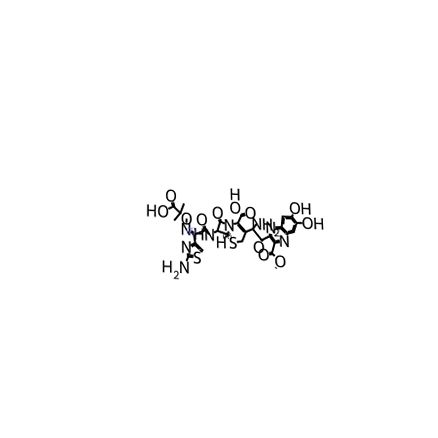 COC(=O)c1nc2cc(O)c(O)cc2nc1C(=O)C(N)C1=C(C(=O)O)N2C(=O)C(NC(=O)/C(=N\OC(C)(C)C(=O)O)c3csc(N)n3)[C@H]2SC1